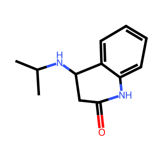 CC(C)NC1CC(=O)Nc2ccccc21